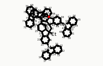 CCC1(CC2(CC)c3cc(-n4c5ccccc5c5ccccc54)ccc3C3C=CC(n4c5ccccc5c5ccccc54)=CC32)c2cc(-n3c4ccccc4c4ccccc43)ccc2-c2ccc(-n3c4ccccc4c4ccccc43)cc21